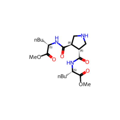 CCCC[C@H](NC(=O)[C@H]1CNC[C@@H]1C(=O)N[C@@H](CCCC)C(=O)OC)C(=O)OC